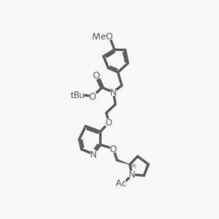 COc1ccc(CN(CCOc2cccnc2OC[C@H]2CCCN2C(C)=O)C(=O)OC(C)(C)C)cc1